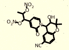 CC(O[N+](=O)[O-])C(O[N+](=O)[O-])c1ccn(C2c3cc(C#N)ccc3OC(C)(C)C2O)c(=O)c1